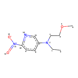 CCN(CCOC)c1ccc([N+](=O)[O-])nc1